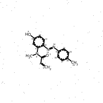 C=CC(=O)N(C)c1cc(O)ccc1N=Nc1ccc(C)cc1